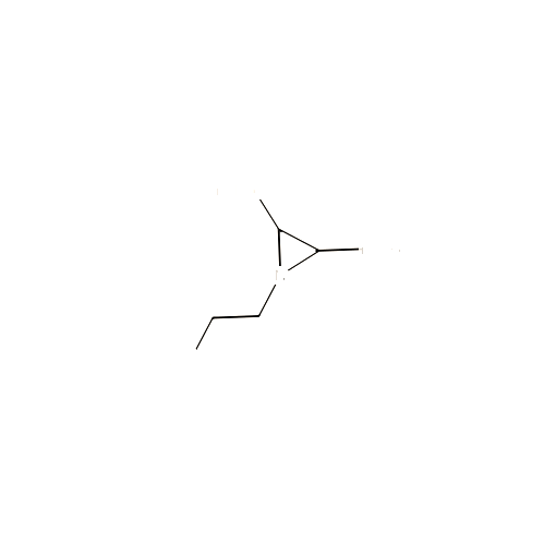 CCCCCCC1C(CCCCCC)N1CCC(=O)O